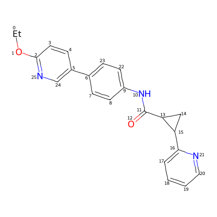 CCOc1ccc(-c2ccc(NC(=O)C3CC3c3ccccn3)cc2)cn1